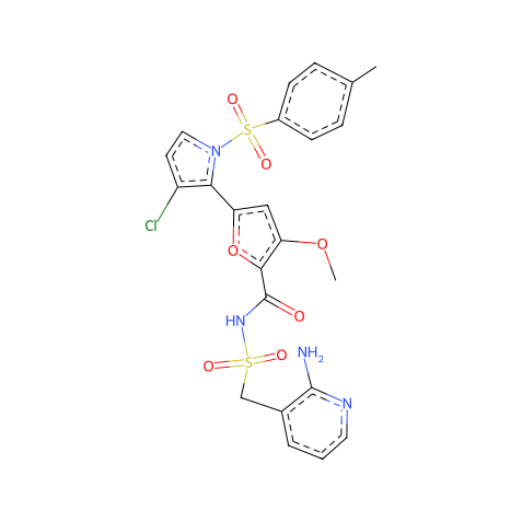 COc1cc(-c2c(Cl)ccn2S(=O)(=O)c2ccc(C)cc2)oc1C(=O)NS(=O)(=O)Cc1cccnc1N